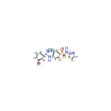 N[C@H](Nc1cc(F)c(S(=O)(=O)Nc2nccs2)cc1Cl)c1cccc(Br)c1